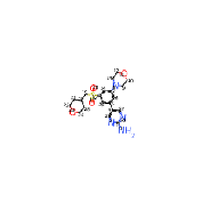 Nc1ncc(-c2cc(N3CCOCC3)cc(S(=O)(=O)CC3CCOCC3)c2)cn1